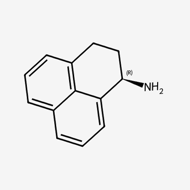 N[C@@H]1CCc2cccc3cccc1c23